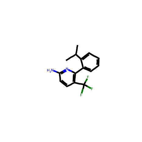 CC(C)c1ccccc1-c1nc(N)ccc1C(F)(F)F